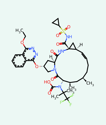 CCOc1nnc(O[C@@H]2C[C@H]3C(=O)N[C@]4(C(=O)NS(=O)(=O)C5CC5)C[C@H]4C=CCC[C@@H](C)C[C@@H](C)[C@H](N(C(=O)O)C(C)(C)C(F)(F)F)C(=O)N3C2)c2ccccc12